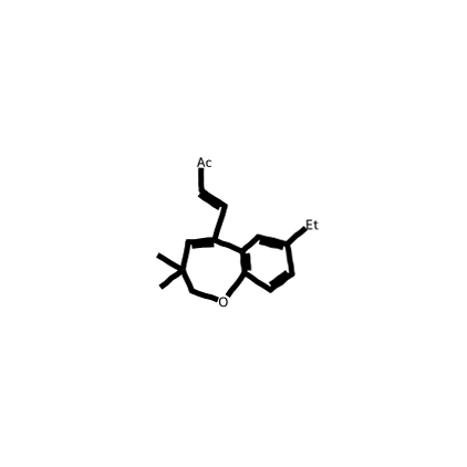 CCc1ccc2c(c1)C(/C=C/C(C)=O)=CC(C)(C)CO2